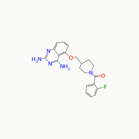 Nc1nc(N)c2c(OCC3CCN(C(=O)c4ccccc4F)CC3)cccc2n1